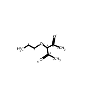 CCCOC(C(C)=O)C(C)=O